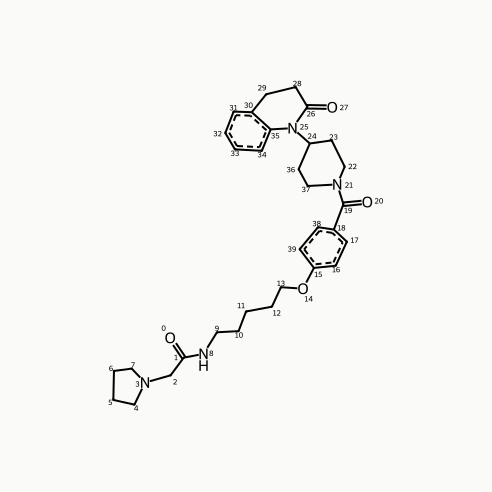 O=C(CN1CCCC1)NCCCCCOc1ccc(C(=O)N2CCC(N3C(=O)CCc4ccccc43)CC2)cc1